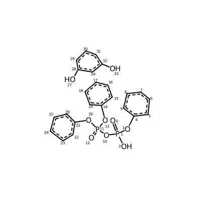 O=P(O)(Oc1ccccc1)OP(=O)(Oc1ccccc1)Oc1ccccc1.Oc1cccc(O)c1